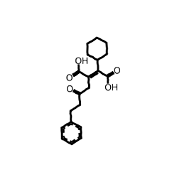 O=C(CCc1ccccc1)CC(C(=O)O)=C(C(=O)O)C1CCCCC1